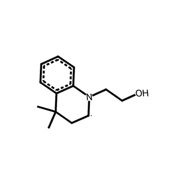 CC1(C)C[CH]N(CCO)c2ccccc21